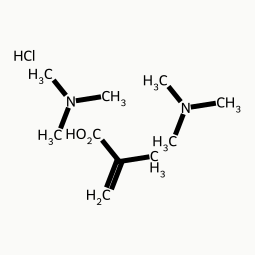 C=C(C)C(=O)O.CN(C)C.CN(C)C.Cl